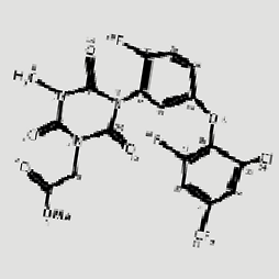 COC(=O)Cn1c(=O)n(C)c(=O)n(-c2cc(Oc3c(F)cc(C(F)(F)F)cc3Cl)ccc2F)c1=O